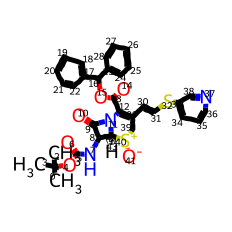 CC(C)(C)OC(=O)NC1C(=O)N2C(C(=O)OC(c3ccccc3)c3ccccc3)=C(C=CSc3cccnc3)C[S+]([O-])[C@@H]12